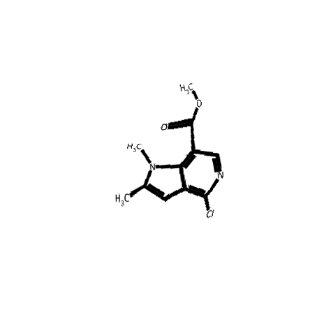 COC(=O)c1cnc(Cl)c2cc(C)n(C)c12